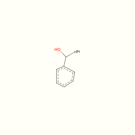 [CH2]CCC(O)c1ccccc1